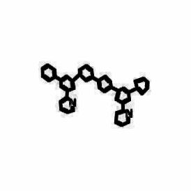 c1ccc(-c2cc(-c3ccc(-c4cccc(-c5cc(-c6ccccc6)cc(-c6ccccn6)c5)c4)cc3)cc(-c3ccccn3)c2)cc1